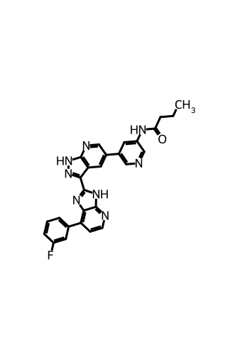 CCCC(=O)Nc1cncc(-c2cnc3[nH]nc(-c4nc5c(-c6cccc(F)c6)ccnc5[nH]4)c3c2)c1